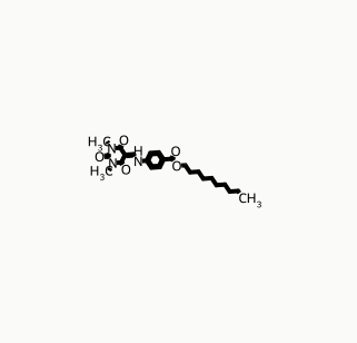 CCCCCCCCCCOC(=O)c1ccc(NC=C2C(=O)N(C)C(=O)N(C)C2=O)cc1